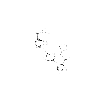 CCC1c2nncn2-c2cnc(-n3ccc(C(=O)N(C)C)n3)nc2N1C1CCCC1